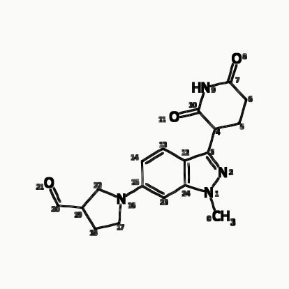 Cn1nc(C2CCC(=O)NC2=O)c2ccc(N3CCC(C=O)C3)cc21